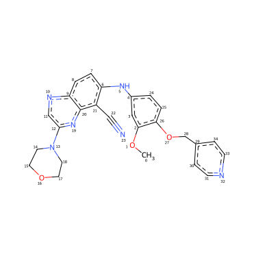 COc1cc(Nc2ccc3ncc(N4CCOCC4)nc3c2C#N)ccc1OCc1ccncc1